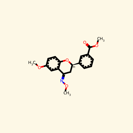 CON=C1C[C@H](c2cccc(C(=O)OC)c2)Oc2ccc(OC)cc21